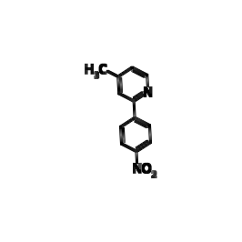 Cc1ccnc(-c2ccc([N+](=O)[O-])cc2)c1